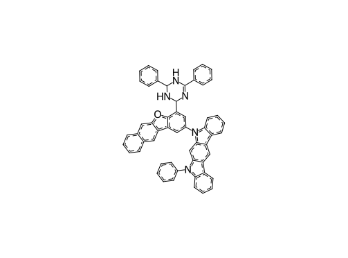 c1ccc(C2=NC(c3cc(-n4c5ccccc5c5cc6c7ccccc7n(-c7ccccc7)c6cc54)cc4c3oc3cc5ccccc5cc34)NC(c3ccccc3)N2)cc1